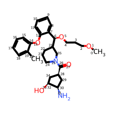 COCCCO[C@H](c1ccccc1Oc1ccccc1C)C1CCCN(C(=O)[C@H]2C[C@@H](N)[C@@H](O)C2)C1